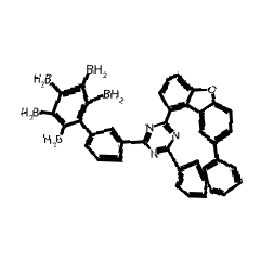 Bc1c(B)c(B)c(-c2cccc(-c3nc(-c4ccccc4)nc(-c4cccc5oc6ccc(-c7ccccc7)cc6c45)n3)c2)c(B)c1B